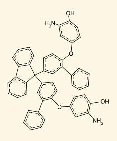 Nc1cc(Oc2ccc(C3(c4ccc(Oc5ccc(O)c(N)c5)c(-c5ccccc5)c4)c4ccccc4-c4ccccc43)cc2-c2ccccc2)ccc1O